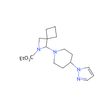 CCOC(=O)N1CC2(CCC2)C1N1CCC(n2cccn2)CC1